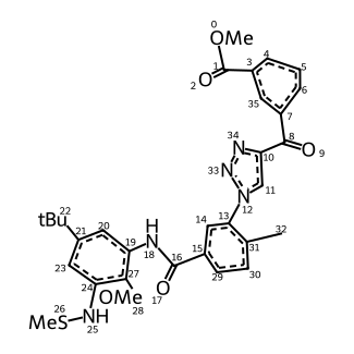 COC(=O)c1cccc(C(=O)c2cn(-c3cc(C(=O)Nc4cc(C(C)(C)C)cc(NSC)c4OC)ccc3C)nn2)c1